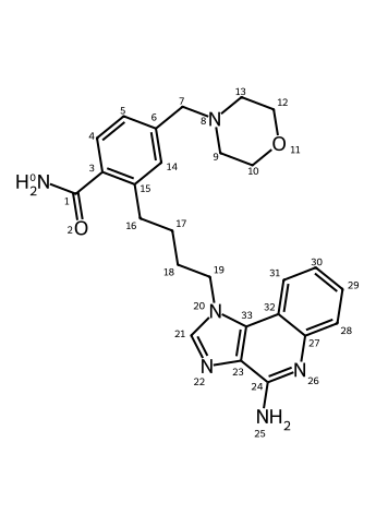 NC(=O)c1ccc(CN2CCOCC2)cc1CCCCn1cnc2c(N)nc3ccccc3c21